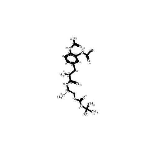 CCC(C)(C)OC(=O)OC[C@H](C)OC(=O)[C@@H](N)Cc1ccc(OC(=O)C(C)C)c(OC(=O)C(C)C)c1